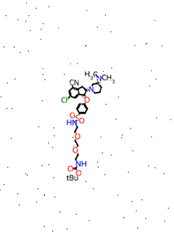 CN(C)[C@@H]1CCCN([C@H]2Cc3c(C#N)cc(Cl)cc3[C@@H]2Oc2ccc(S(=O)(=O)NCCOCCOCCNC(=O)OC(C)(C)C)cc2)C1